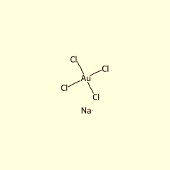 [Cl][Au]([Cl])([Cl])[Cl].[Na]